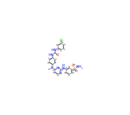 CN(c1ccc(NC(=O)Nc2cccc(Cl)c2)cc1)c1ccnc(Nc2cccc(S(N)(=O)=O)c2)n1